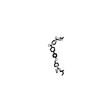 C=N/C(=N\C=C(/C)CC)N1CCC(COc2ccc(C3=CCC(C(=O)N4CCN(C(=O)NCCC)CC4)CC3)cc2)CC1